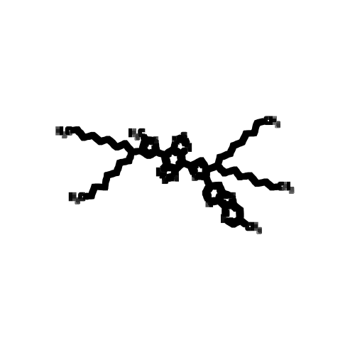 CCCCCCCCC(CCCCCCCC)c1cc(-c2c3c(c(-c4cc(C(CCCCCCCC)CCCCCCCC)c(-c5cnc6c(c5)sc5cc(C)cnc56)s4)c4nsnc24)N=S=N3)sc1C